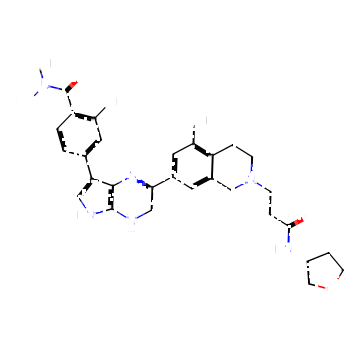 Cc1cc(-c2c[nH]c3c2N=C(c2cc(C)c4c(c2)CN(CCC(=O)N[C@@H]2CCOC2)CC4)CN3)ccc1C(=O)N(C)C